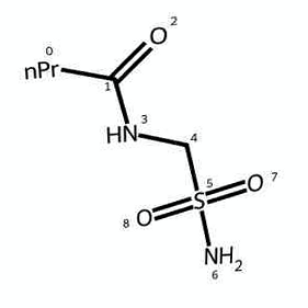 CCCC(=O)NCS(N)(=O)=O